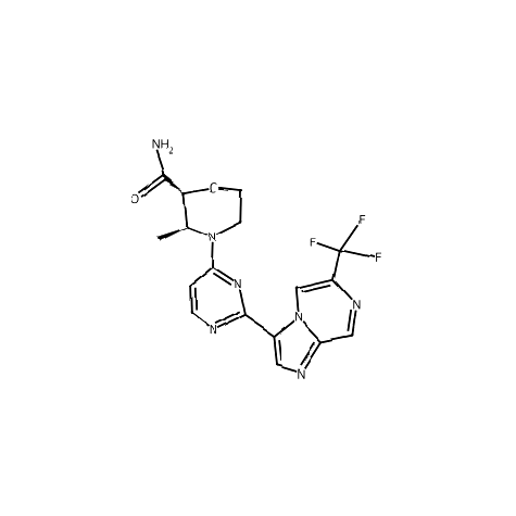 C[C@H]1[C@@H](C(N)=O)CCCN1c1ccnc(-c2cnc3cnc(C(F)(F)F)cn23)n1